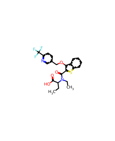 CCC(C(=O)O)N(CC)C(=O)c1sc2ccccc2c1OCc1ccc(C(F)(F)F)nc1